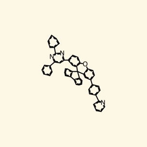 c1ccc(-c2cc(-c3ccc4c(c3)C3(c5cc(-c6ccc(-c7ccccn7)cc6)ccc5O4)c4ccccc4-c4ccccc43)nc(-c3ccccc3)n2)cc1